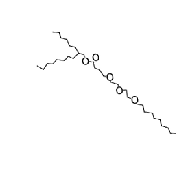 CCCCCCCCCCOCCOCCOCCCC(=O)OCC(CCCCCC)CCCCCCCC